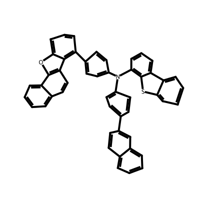 c1ccc2cc(-c3ccc(N(c4ccc(-c5cccc6oc7c8ccccc8ccc7c56)cc4)c4cccc5c4sc4ccccc45)cc3)ccc2c1